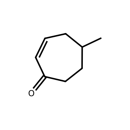 CC1CC=CC(=O)CC1